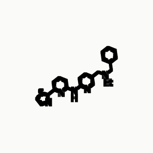 CCN(Cc1ccccc1)Cc1ccc(Nc2cccc(-c3nccs3)n2)nc1